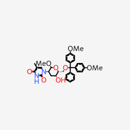 COc1ccc(C(OC[C@H]2OC(OC)[C@H](n3cc(C)c(=O)[nH]c3=O)C[C@@H]2O)(c2ccccc2)c2ccc(OC)cc2)cc1